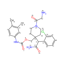 Cc1ccc(NC(=O)OCC2(C(C(N)=O)c3ccccc3Cl)CCN(C(=O)CN)CC2)cc1C(F)(F)F